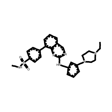 CCN1CCN(c2cccc(Nc3ncc4cccc(-c5ccc(S(=O)(=O)NC)cc5)c4n3)c2)CC1